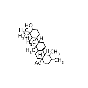 CC(=O)[C@]12CC[C@@H](C)[C@H](C)[C@H]1C1=CC[C@@H]3[C@@](C)(CC[C@H]4C(C)(C)[C@@H](O)CC[C@]34C)[C@@H]1CC2